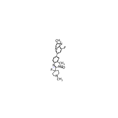 Cc1cn2cc(-c3ccc(/N=C(\NC=O)C4(F)CCN(C)CC4)c(C)c3)cc(F)c2n1